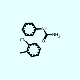 NC(=O)Nc1ccccc1.[C-]#[N+]c1ccccc1C